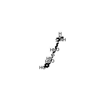 C=C1NC2CS[C@@H](CCCCC(=O)NCCSSCNC(=O)NCc3ccc(O)cc3)C2N1